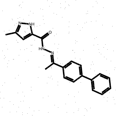 C/C(=N\NC(=O)c1cc(C)n[nH]1)c1ccc(-c2ccccc2)cc1